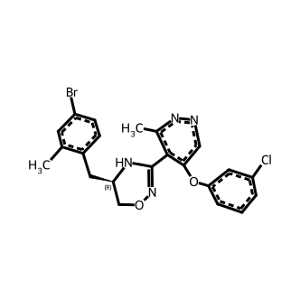 Cc1cc(Br)ccc1C[C@@H]1CON=C(c2c(Oc3cccc(Cl)c3)cnnc2C)N1